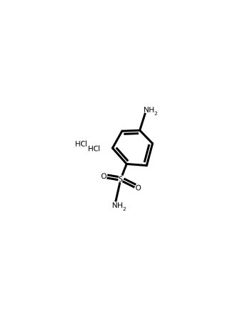 Cl.Cl.Nc1ccc(S(N)(=O)=O)cc1